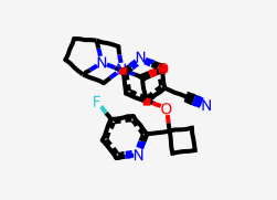 N#Cc1ccc(N2C3CCC2CN(C(=O)COC2(c4cc(F)ccn4)CCC2)C3)nc1